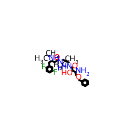 CC(C)NC(CC(=O)NCC(C)(C)CNC(=O)C(O)[C@H](N)COCc1ccccc1)Cc1cc(F)ccc1F